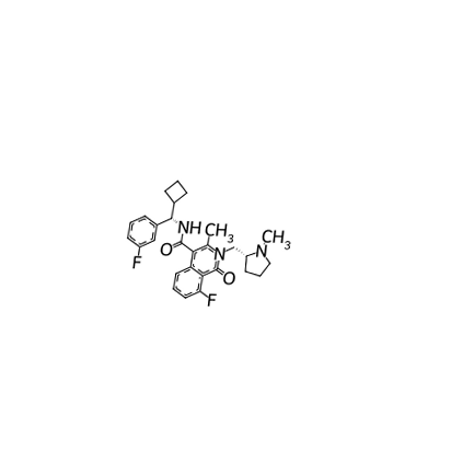 Cc1c(C(=O)N[C@H](c2cccc(F)c2)C2CCC2)c2cccc(F)c2c(=O)n1C[C@H]1CCCN1C